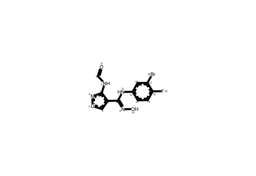 O=CNc1nocc1/C(=N/O)Nc1ccc(F)c(Br)c1